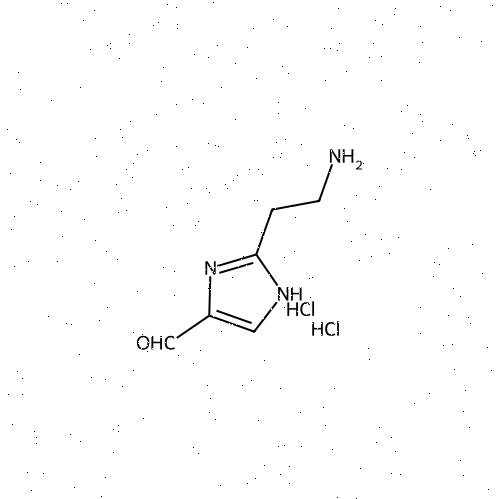 Cl.Cl.NCCc1nc(C=O)c[nH]1